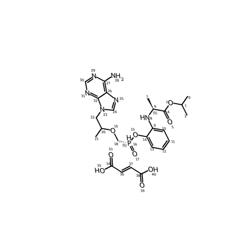 CC(C)OC(=O)[C@H](C)Nc1ccccc1O[P@H](=O)COC(C)Cn1cnc2c(N)ncnc21.O=C(O)C=CC(=O)O